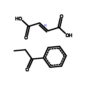 CCC(=O)c1ccccc1.O=C(O)/C=C/C(=O)O